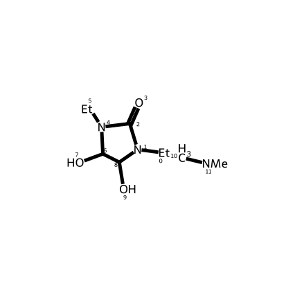 CCN1C(=O)N(CC)C(O)C1O.CNC